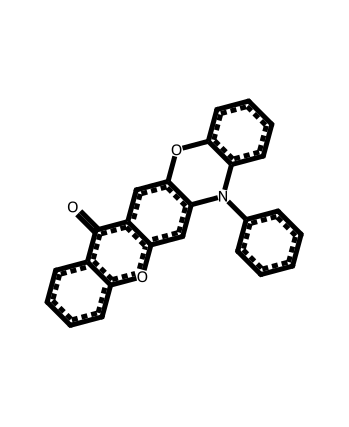 O=c1c2ccccc2oc2cc3c(cc12)Oc1ccccc1N3c1ccccc1